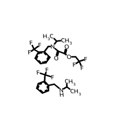 CC(C)N(Cc1ccccc1C(F)(F)F)C(=O)C(=O)OCC(F)(F)F.CC(C)NCc1ccccc1C(F)(F)F